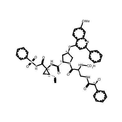 C=C[C@@H]1C[C@]1(NC(=O)[C@@H]1C[C@@H](Oc2cc(-c3ccccc3)nc3cc(OC)ccc23)CN1C(=O)C(CNC(=O)[C@@H](Cl)c1ccccc1)NC(=O)O)C(=O)NS(=O)(=O)c1ccccc1